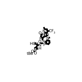 Cc1cc(C(F)(F)F)cc(N2C(=O)C[C@@H]3CN(CC(=O)NC(=NO)C4CN(C(=O)OC(C)(C)C)C4)c4c(F)cccc4N(C)C(=O)[C@H]32)n1